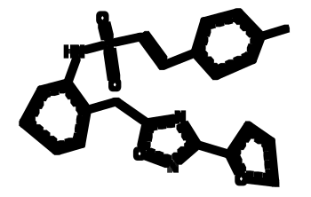 Cc1ccc(/C=C/S(=O)(=O)Nc2ccccc2Cc2nc(-c3ccco3)no2)cc1